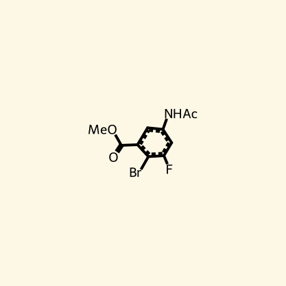 COC(=O)c1cc(NC(C)=O)cc(F)c1Br